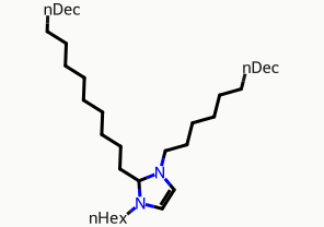 CCCCCCCCCCCCCCCCCCCC1N(CCCCCC)C=CN1CCCCCCCCCCCCCCCC